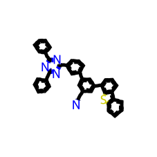 N#Cc1cc(-c2cccc(-c3nc(-c4ccccc4)nc(-c4ccccc4)n3)c2)cc(-c2cccc3c2sc2ccccc23)c1